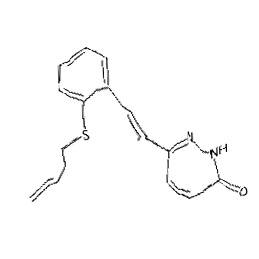 C=CCSc1ccccc1/C=C/c1ccc(=O)[nH]n1